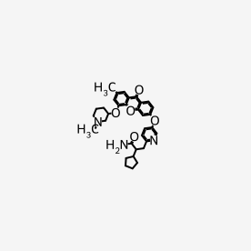 Cc1cc(OC2CCCN(C)C2)c2oc3cc(Oc4ccc(CC(C(N)=O)C5CCCC5)nc4)ccc3c(=O)c2c1